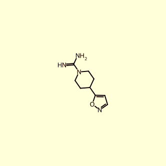 N=C(N)N1CCC(c2ccno2)CC1